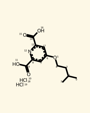 CC(C)CCOc1cc(C(=O)O)nc(C(=O)O)c1.Cl.Cl